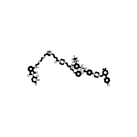 CC1(C)CCC(c2ccc(Cl)cc2)=C(CN2CCN(c3ccc(C(=O)NS(=O)(=O)c4ccc(N[C@@H](CCSc5ccccc5)CCN5CCN(C(=O)CCCn6cc(COCCOCCNc7cccc8c7C(=O)N(C7CCC(=O)NC7=O)C8=O)nn6)CC5)c(S(=O)(=O)C(F)(F)F)c4)cc3)CC2)C1